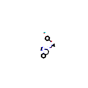 Cc1cnc2n1-c1ccccc1CCC2NC(=O)C1(NC(=O)c2ccc(OC(F)F)cc2)CC1